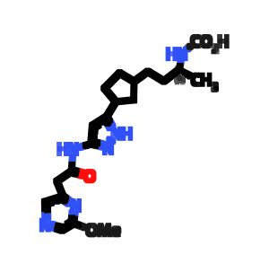 COc1cncc(CC(=O)Nc2cc(C3CCC(CC[C@H](C)NC(=O)O)C3)[nH]n2)n1